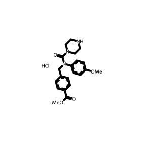 COC(=O)c1ccc(CN(C(=O)N2CCNCC2)c2ccc(OC)cc2)cc1.Cl